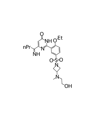 CCCC(=N)c1cc(=O)[nH]c(-c2cc(S(=O)(=O)N3CC(N(C)CCO)C3)ccc2OCC)n1